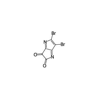 O=c1nc2c(Br)c(Br)nc-2c1=O